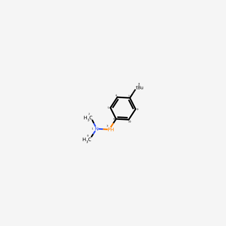 CN(C)Pc1ccc(C(C)(C)C)cc1